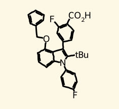 CC(C)(C)c1c(-c2ccc(C(=O)O)c(F)c2)c2c(OCc3ccccc3)cccc2n1-c1ccc(F)cc1